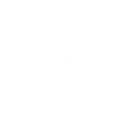 CC(CCC=O)N1CCCCC1